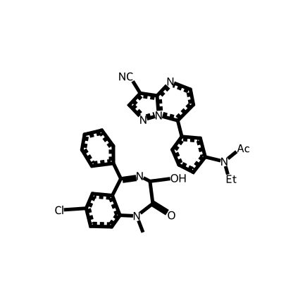 CCN(C(C)=O)c1cccc(-c2ccnc3c(C#N)cnn23)c1.CN1C(=O)C(O)N=C(c2ccccc2)c2cc(Cl)ccc21